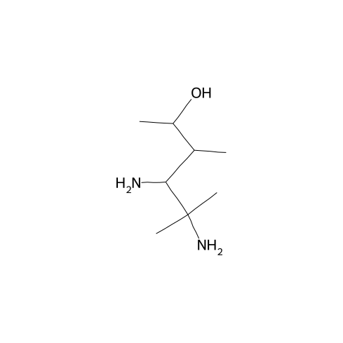 CC(O)C(C)C(N)C(C)(C)N